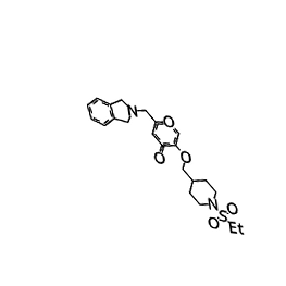 CCS(=O)(=O)N1CCC(COc2coc(CN3Cc4ccccc4C3)cc2=O)CC1